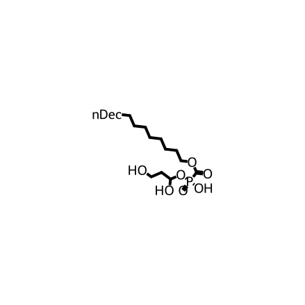 CCCCCCCCCCCCCCCCCCOC(=O)P(=O)(O)OC(O)CCO